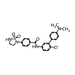 CN(C)c1ccc(-c2cc(NC(=O)c3ccc(N4CCNS4(=O)=O)cc3)ccc2Cl)cc1